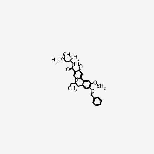 CCC1Cc2cc(OCc3ccccc3)c(OC)cc2-c2cc(=O)c(C(=O)NC(C)CN(C)C)cn21